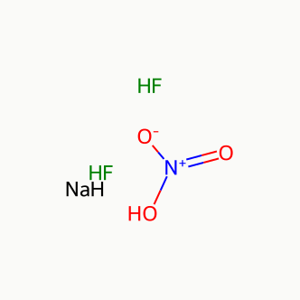 F.F.O=[N+]([O-])O.[NaH]